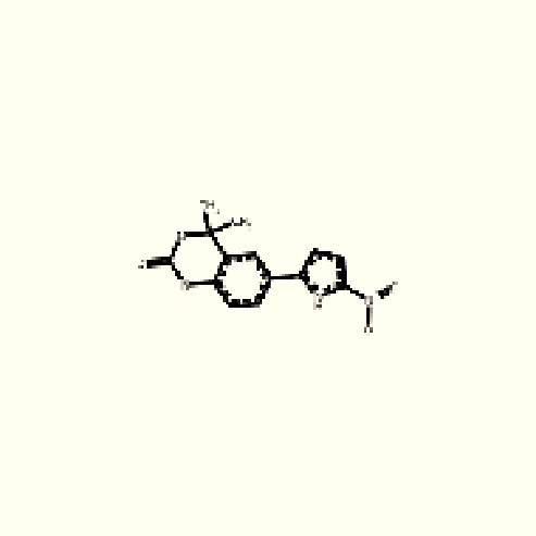 CC1(C)OC(=O)Nc2ccc(-c3ccc([N+](=O)[O-])[nH]3)cc21